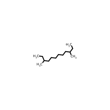 [CH2]CC(C)CCCCCCC(C)CC